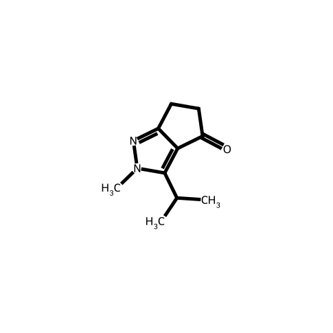 CC(C)c1c2c(nn1C)CCC2=O